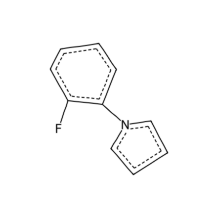 Fc1ccccc1-n1cccc1